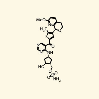 COc1ccc2c(n1)[C@H](c1cc(C(=O)c3cncnc3N[C@@H]3C[C@H](COS(N)(=O)=O)[C@@H](O)C3)sc1C)OCC2